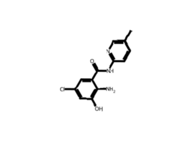 Cc1ccc(NC(=O)c2cc(Cl)cc(O)c2N)nc1